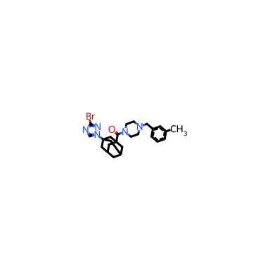 Cc1cccc(CN2CCN(C(=O)C34CC5CC(C3)CC(n3cnc(Br)n3)(C5)C4)CC2)c1